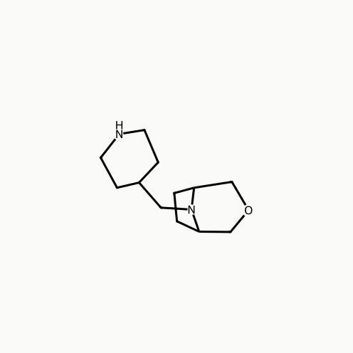 C1CC(CN2C3CCC2COC3)CCN1